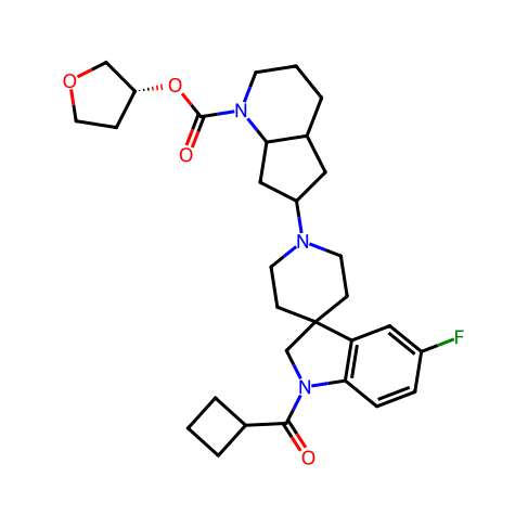 O=C(C1CCC1)N1CC2(CCN(C3CC4CCCN(C(=O)O[C@@H]5CCOC5)C4C3)CC2)c2cc(F)ccc21